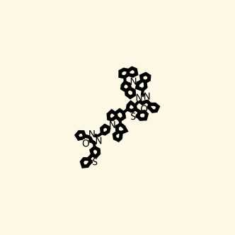 c1ccc2c(N3c4c(ccc5ccccc45)-c4cccc5cccc3c45)cc(-c3nc(-c4ccc(-c5cc6c7c(cccc7c5)N(c5ccc(-c7nc(-c8ccc9sc%10ccccc%10c9c8)c8oc9ccccc9c8n7)cc5)c5c-6ccc6ccccc56)c5sc6ccccc6c45)c4oc5ccccc5c4n3)cc2c1